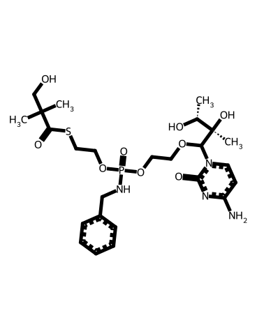 C[C@@H](O)[C@@](C)(O)C(OCCOP(=O)(NCc1ccccc1)OCCSC(=O)C(C)(C)CO)n1ccc(N)nc1=O